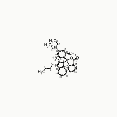 CCCCn1c(C)c(C2(c3ccc(N(CC)CC)cc3C)OC(=O)c3ncccc32)c2ccccc21